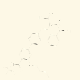 C[C@@H]([C@@H](O)c1ccccc1)N(CCc1ccc(-c2ccc(C(=O)NS(C)(=O)=O)c(OCCCF)c2)cc1)C(=O)O